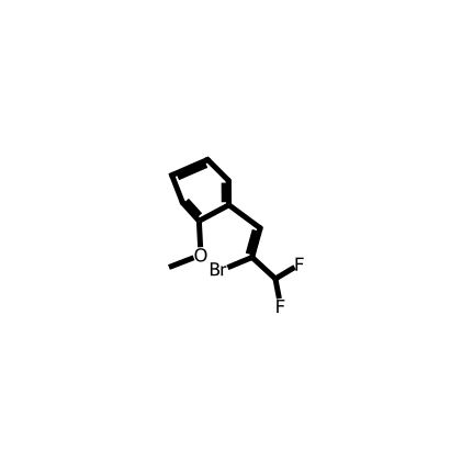 COc1ccccc1/C=C(\Br)C(F)F